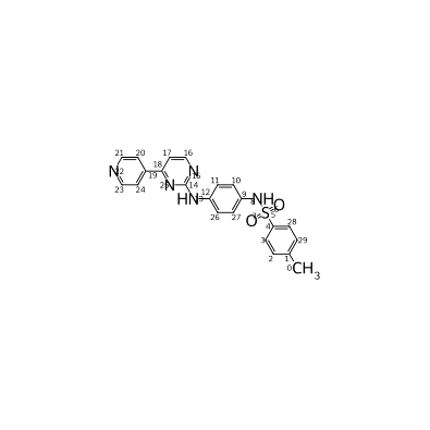 Cc1ccc(S(=O)(=O)Nc2ccc(Nc3nccc(-c4ccncc4)n3)cc2)cc1